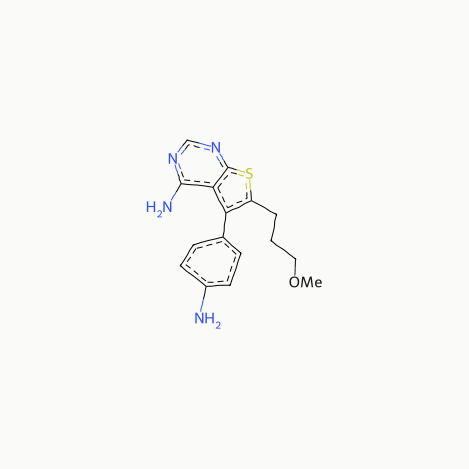 COCCCc1sc2ncnc(N)c2c1-c1ccc(N)cc1